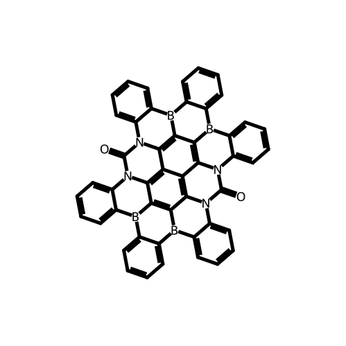 O=C1N2c3ccccc3B3c4ccccc4B4c5ccccc5N5C(=O)N6c7ccccc7B7c8ccccc8B8c9ccccc9N1c1c8c7c6c6c5c4c3c2c16